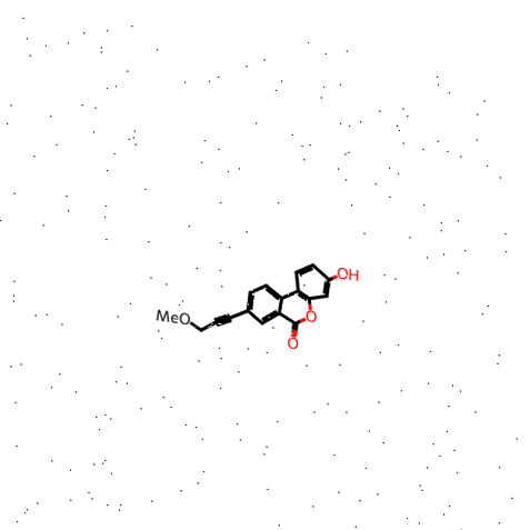 COCC#Cc1ccc2c(c1)c(=O)oc1cc(O)ccc12